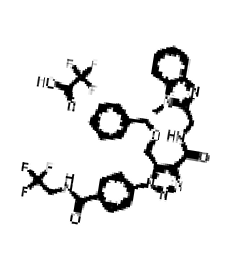 Cn1c(CNC(=O)c2nnn(-c3ccc(C(=O)NCC(F)(F)F)cc3)c2COCc2ccccc2)nc2ccccc21.O=C(O)C(F)(F)F